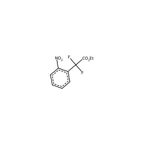 CCOC(=O)C(F)(F)c1ccccc1[N+](=O)[O-]